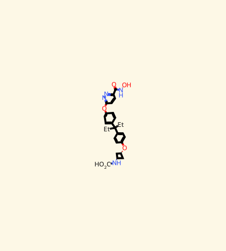 CCC(CC)(c1ccc(Oc2ccc(C(=O)NO)nn2)cc1)c1ccc(O[C@H]2C[C@@H](NC(=O)O)C2)cc1